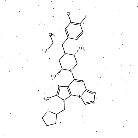 Cc1nc2c(N3C[C@@H](C)N([C@@H](c4ccc(F)c(Cl)c4)C(C)C)C[C@@H]3C)nc3nncn3c2n1CC1CCCO1